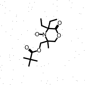 CCC1(CC)C(=O)OCC(C)(COC(=O)C(C)(C)C)N1[O]